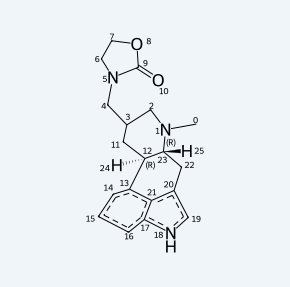 CN1CC(CN2CCOC2=O)C[C@@H]2c3cccc4[nH]cc(c34)C[C@H]21